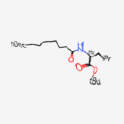 CCCCCCCCCCCCCCCC(=O)N[C@@H](CC(C)C)C(=O)OC(C)(C)C